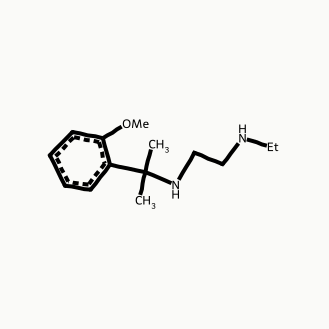 CCNCCNC(C)(C)c1ccccc1OC